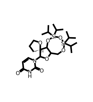 CC(C)[Si]1(C(C)C)OCC2OC(n3ccc(=O)[nH]c3=O)[C@]3(CCCO3)C2O[Si](C(C)C)(C(C)C)O1